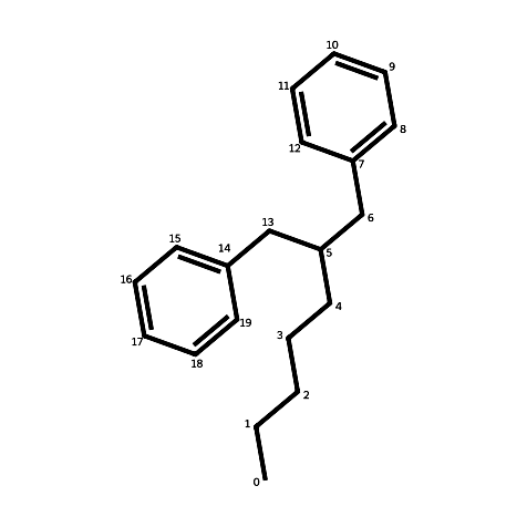 CCCCCC(Cc1ccccc1)Cc1ccccc1